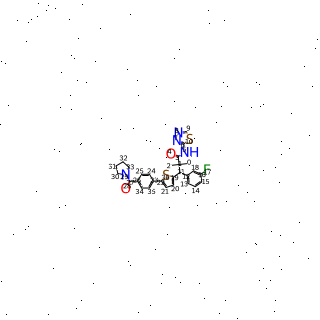 CC(C)(C(=O)Nc1nncs1)C(c1cccc(F)c1)c1ccc(-c2ccc(C(=O)N3CCCC3)cc2)s1